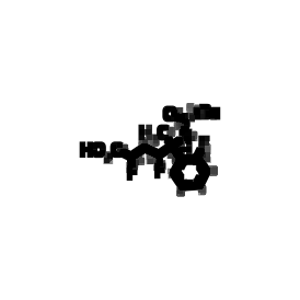 CC(N[S@+]([O-])C(C)(C)C)(c1ccccc1F)[C@@H](F)CC(F)C(=O)O